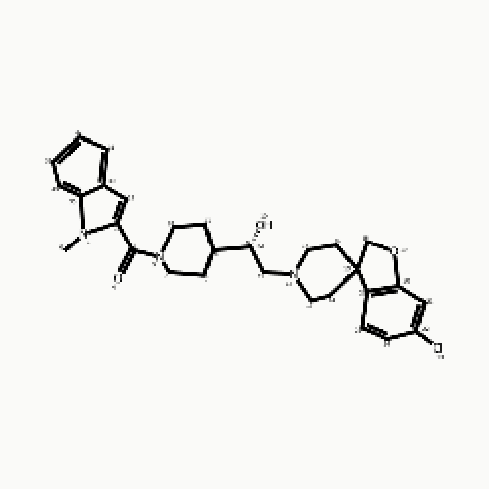 Cn1c(C(=O)N2CCC([C@H](O)CN3CCC4(CC3)COc3cc(Cl)ccc34)CC2)cc2ccccc21